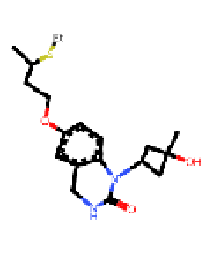 CCSC(C)CCOc1ccc2c(c1)CNC(=O)N2C1CC(C)(O)C1